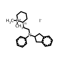 C[N+]1(C)CCCC[C@H]1CCN(c1ccccc1)C1Cc2ccccc2C1.[I-]